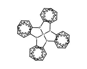 c1ccc([P](c2ccccc2)[Pt]([P](c2ccccc2)c2ccccc2)([P](c2ccccc2)c2ccccc2)[P](c2ccccc2)c2ccccc2)cc1